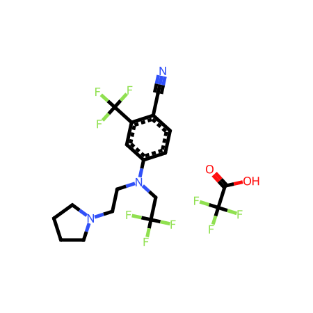 N#Cc1ccc(N(CCN2CCCC2)CC(F)(F)F)cc1C(F)(F)F.O=C(O)C(F)(F)F